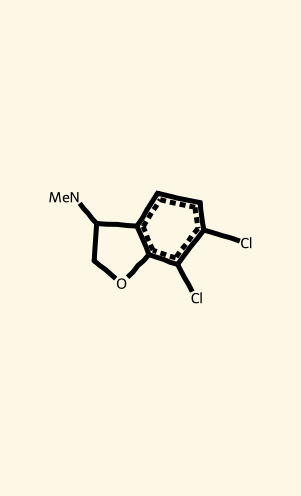 CNC1COc2c1ccc(Cl)c2Cl